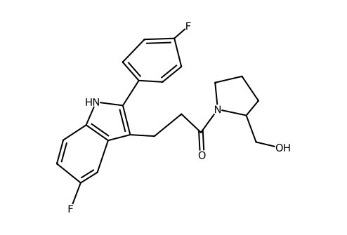 O=C(CCc1c(-c2ccc(F)cc2)[nH]c2ccc(F)cc12)N1CCCC1CO